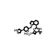 O=C(NC1(C23CC(C(=O)O)(C2)C3)CC1)c1cccc2ccn(Cc3ccc(-c4cn[nH]c4)cn3)c12